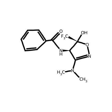 CN(C)C1=NO[C@](O)(C(F)(F)F)[C@@H]1NC(=O)c1ccccc1